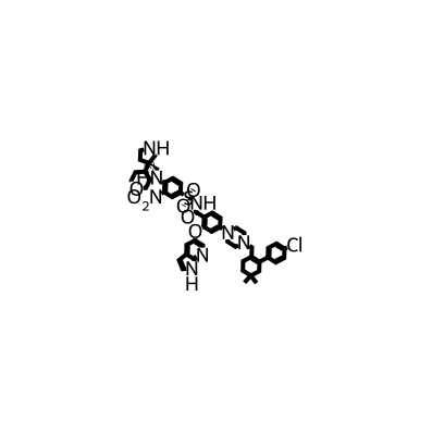 CC1(C)CCC(CN2CCN(c3ccc(C(=O)NS(=O)(=O)c4ccc(NC[C@@]5(C6CCOCC6)CCNC5)c([N+](=O)[O-])c4)c(Oc4cnc5[nH]ccc5c4)c3)CC2)=C(c2ccc(Cl)cc2)C1